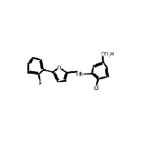 O=C(O)c1ccc(Cl)c(NCc2ccc(-c3ccccc3F)o2)c1